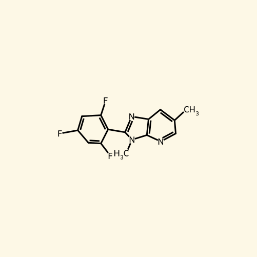 Cc1cnc2c(c1)nc(-c1c(F)cc(F)cc1F)n2C